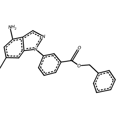 Cc1cc(N)c2cnn(-c3cccc(C(=O)OCc4ccccc4)c3)c2c1